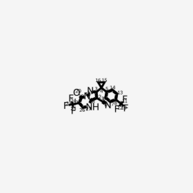 N#Cc1c(C2(c3ccc(C(F)(F)F)cc3)CC2)nn2c(=O)c(C(F)(F)F)c[nH]c12